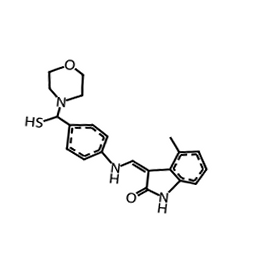 Cc1cccc2c1C(=CNc1ccc(C(S)N3CCOCC3)cc1)C(=O)N2